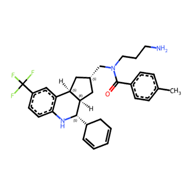 Cc1ccc(C(=O)N(CCCN)C[C@@H]2C[C@@H]3[C@H](C2)c2cc(C(F)(F)F)ccc2N[C@H]3C2C=CC=CC2)cc1